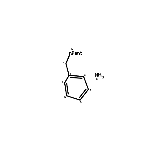 CCCCCCc1ccccc1.N